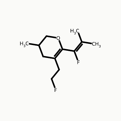 CC(C)=C(F)C1=C(CCF)CC(C)CO1